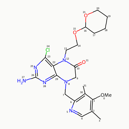 COc1c(C)cnc(CN2CC(=O)N(CCOC3CCCCO3)c3c(Cl)nc(N)nc32)c1C